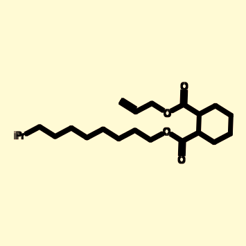 C=CCOC(=O)C1CCCCC1C(=O)OCCCCCCCCC(C)C